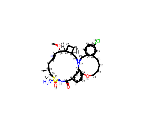 CO[C@H]1/C=C/C[C@H](C)[C@@H](C)S(N)(=O)=NC(=O)c2ccc3c(c2)N(Cc2ccc(Cl)cc2CCCCO3)C[C@@H]2CC[C@H]21